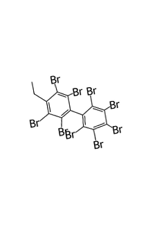 CCc1c(Br)c(Br)c(-c2c(Br)c(Br)c(Br)c(Br)c2Br)c(Br)c1Br